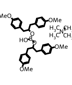 COc1ccc(CC(Cc2ccc(OC)cc2)OB(O)OC(Cc2ccc(OC)cc2)Cc2ccc(OC)cc2)cc1.C[N+](C)(C)C